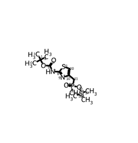 CC(C)(C)OC(=O)Nc1nc(CP(C)(=O)O[Si](C)(C)C)cs1